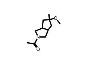 COC1(C)CC2CN(C(C)=O)CC2C1